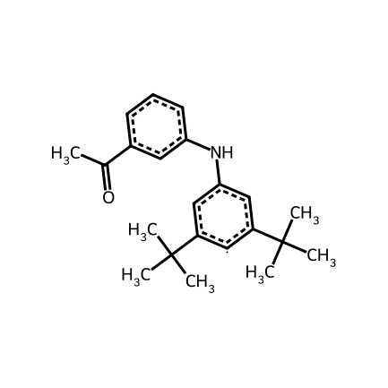 CC(=O)c1cccc(Nc2cc(C(C)(C)C)[c]c(C(C)(C)C)c2)c1